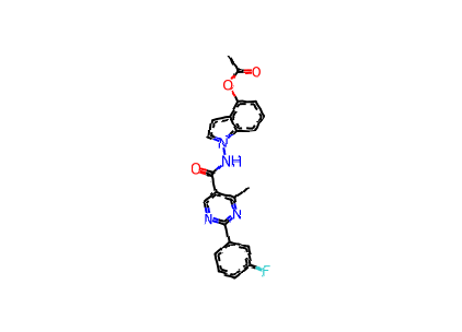 CC(=O)Oc1cccc2c1ccn2NC(=O)c1cnc(-c2cccc(F)c2)nc1C